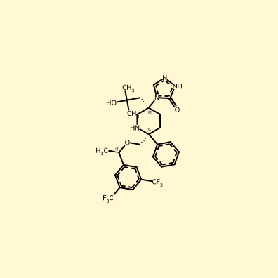 C[C@@H](OC[C@@]1(c2ccccc2)CC[C@](CC(C)(C)O)(n2cn[nH]c2=O)CN1)c1cc(C(F)(F)F)cc(C(F)(F)F)c1